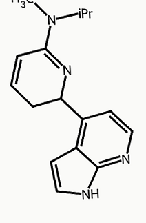 CC(C)N(C)C1=NC(c2ccnc3[nH]ccc23)CC=C1